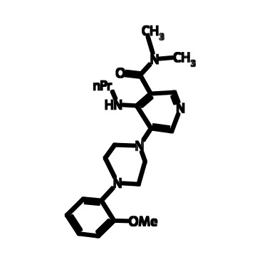 CCCNc1c(C(=O)N(C)C)cncc1N1CCN(c2ccccc2OC)CC1